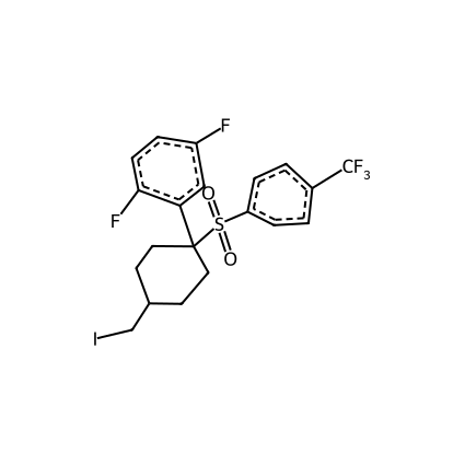 O=S(=O)(c1ccc(C(F)(F)F)cc1)C1(c2cc(F)ccc2F)CCC(CI)CC1